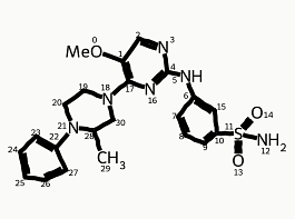 COc1cnc(Nc2cccc(S(N)(=O)=O)c2)nc1N1CCN(c2ccccc2)C(C)C1